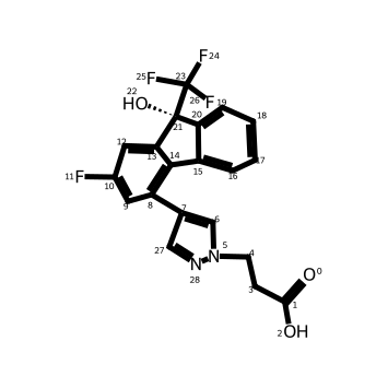 O=C(O)CCn1cc(-c2cc(F)cc3c2-c2ccccc2[C@]3(O)C(F)(F)F)cn1